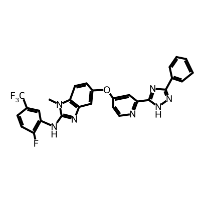 Cn1c(Nc2cc(C(F)(F)F)ccc2F)nc2cc(Oc3ccnc(-c4nc(-c5ccccc5)n[nH]4)c3)ccc21